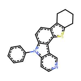 c1ccc(-n2c3ccncc3c3c4sc5c(c4ccc32)CCCC5)cc1